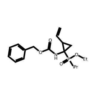 C=CC1CC1(NC(=O)OCc1ccccc1)P(=O)(OCC)C(C)C